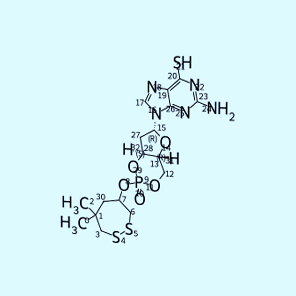 CC1(C)CSSCC(OP2(=O)OC[C@H]3O[C@@H](n4cnc5c(S)nc(N)nc54)C[C@@H]3O2)C1